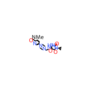 CNC(=O)c1ccc(N2CCN(Cc3nc4[nH]c(=O)n(C5CC5)c(=O)c4o3)CC2)cn1